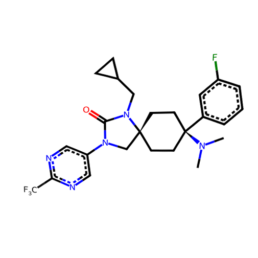 CN(C)[C@]1(c2cccc(F)c2)CC[C@@]2(CC1)CN(c1cnc(C(F)(F)F)nc1)C(=O)N2CC1CC1